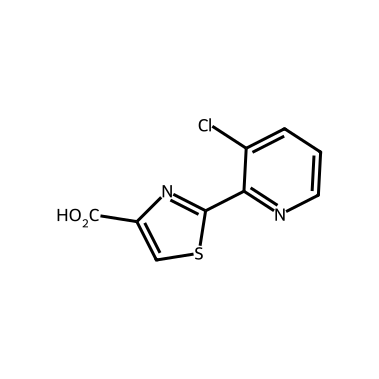 O=C(O)c1csc(-c2ncccc2Cl)n1